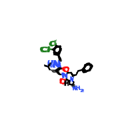 CC(C)C[C@@H](CN1CCC(CCc2ccccc2)N2C[C@H](N)C[C@H]2C1=O)C(=O)NCc1ccc(Cl)c(Cl)c1